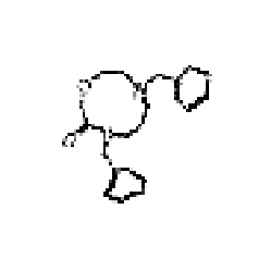 O=C1COCCN(Cc2ccccc2)CCCN1Cc1ccccc1